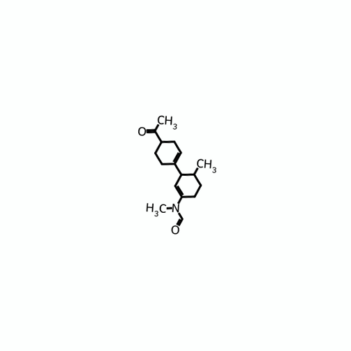 CC(=O)C1CC=C(C2C=C(N(C)C=O)CCC2C)CC1